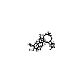 Cc1nnc([C@@]2(C)CCC(C)(C)CCC3C(=O)C[C@@H]4[C@@]5(C)CC(C#N)=C(O)C(C)(C)[C@@H]5CC[C@@]4(C)[C@]3(C)CC2)s1